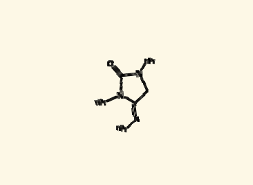 CCC/N=C1/CN(CCC)C(=O)N1CCC